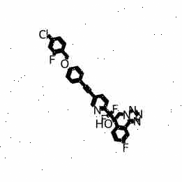 OC1(C(F)(F)c2ccc(C#Cc3ccc(OCc4ccc(Cl)cc4F)cc3)cn2)Cn2nnnc2-c2cc(F)ccc21